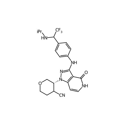 CC(C)NC(c1ccc(Nc2nn([C@H]3COCCC3C#N)c3cc[nH]c(=O)c23)cc1)C(F)(F)F